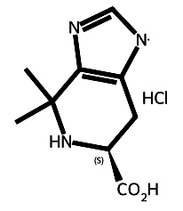 CC1(C)N[C@H](C(=O)O)CC2=C1N=C[N]2.Cl